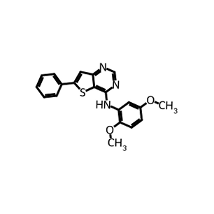 COc1ccc(OC)c(Nc2ncnc3cc(-c4ccccc4)sc23)c1